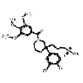 COc1cc(C(=O)N2CCOC(CCOS(C)(=O)=O)(c3ccc(Cl)c(Cl)c3)C2)cc(OC)c1OC